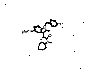 COc1ccc2c(c1)c(C(=O)C(=O)N(C)C1CCCCC1)c(C)n2Cc1ccc(Cl)cc1